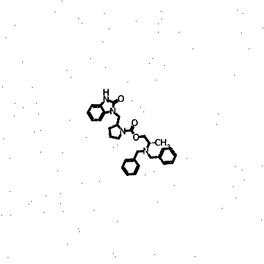 C[C@@H](COC(=O)N1CCCC1Cn1c(=O)[nH]c2ccccc21)N(Cc1ccccc1)Cc1ccccc1